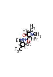 CCCc1c(C(=O)Nc2c(CC)cc(C(F)(F)F)cc2CC)c(=O)c(CC)c(C)n1C